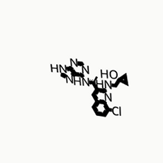 C[C@H](Nc1ncnc2[nH]cnc12)c1cc2cccc(Cl)c2nc1NCC1(O)CC1